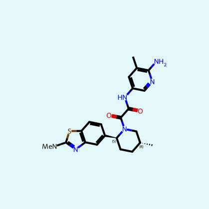 CNc1nc2cc([C@@H]3CC[C@@H](C)CN3C(=O)C(=O)Nc3cnc(N)c(C)c3)ccc2s1